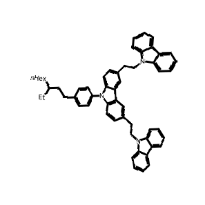 CCCCCCC(CC)CCc1ccc(-n2c3ccc(CCn4c5ccccc5c5ccccc54)cc3c3cc(CCn4c5ccccc5c5ccccc54)ccc32)cc1